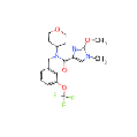 COc1nc(C(=O)N(Cc2cccc(OC(F)(F)F)c2)C2CCOCC2)cn1C